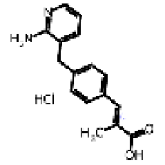 C/C(=C\c1ccc(Cc2cccnc2N)cc1)C(=O)O.Cl